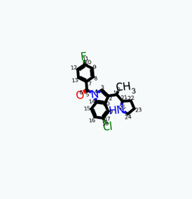 CC(c1cn(C(=O)c2ccc(F)cc2)c2ccc(Cl)cc12)C1CCCN1